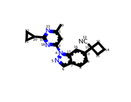 Cc1cc(-n2ncc3ccc(C4(C#N)CCC4)cc32)nc(C2CC2)n1